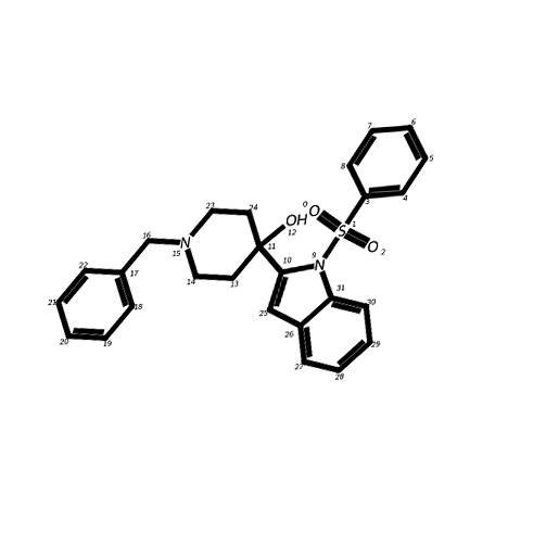 O=S(=O)(c1ccccc1)n1c(C2(O)CCN(Cc3ccccc3)CC2)cc2ccccc21